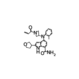 C=CC(=O)N1CC(N(c2ccccc2C)c2ccc(C(N)=O)c3[nH]c(C4CCOC4)cc23)C1